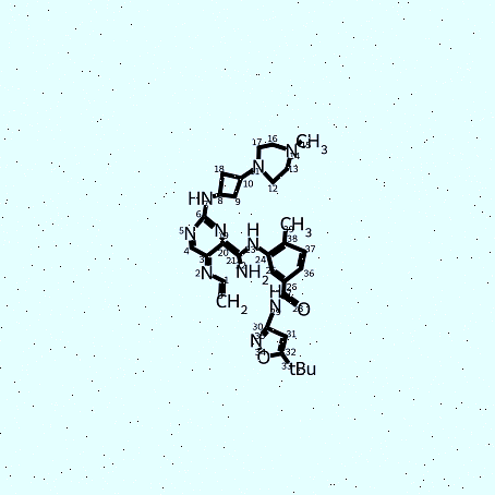 C=C/N=C1/C=NC(NC2CC(N3CCN(C)CC3)C2)=N/C1=C(/N)Nc1cc(C(=O)Nc2cc(C(C)(C)C)on2)ccc1C